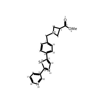 COC(=O)C1CN(Cc2ccc(-c3cnc(-c4cccnc4)[se]3)cc2)C1